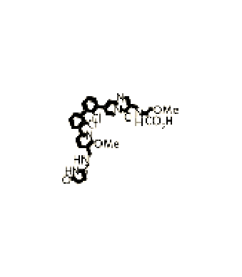 COC[C@H](NCc1cnc2cc(-c3cccc(-c4cccc(-c5ccc(CNC[C@H]6CCC(=O)N6)c(OC)n5)c4Cl)c3Cl)ccn2c1=O)C(=O)O